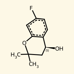 CC1(C)C[C@H](O)c2ccc(F)cc2O1